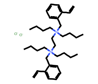 C=Cc1ccccc1C[N+](CCCC)(CCCC)CC[N+](CCCC)(CCCC)Cc1ccccc1C=C.[Cl-].[Cl-]